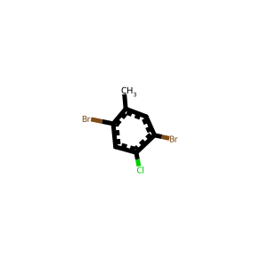 Cc1cc(Br)c(Cl)cc1Br